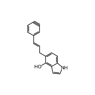 Oc1c(C/C=C/c2cc#ccc2)ccc2[nH]ccc12